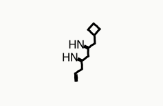 C=CCC(=N)CC(=N)CC1CCC1